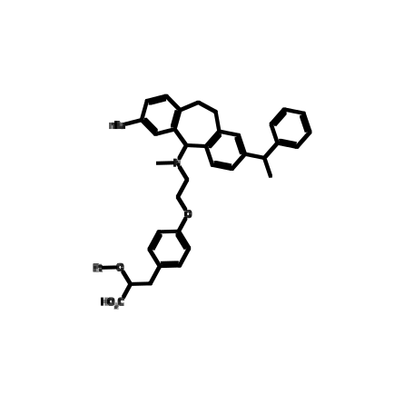 CCCCc1ccc2c(c1)C(N(C)CCOc1ccc(CC(OCC)C(=O)O)cc1)c1ccc(C(C)c3ccccc3)cc1CC2